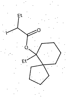 CCC(I)C(=O)OC1(CC)CCCCC12CCCC2